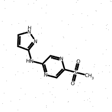 CS(=O)(=O)c1cnc(Nc2cc[nH]n2)cn1